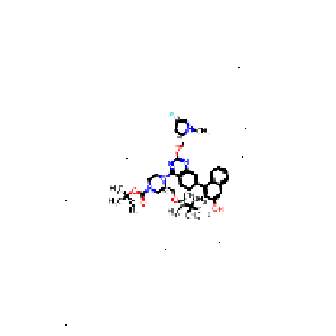 CN1C[C@@H](F)C[C@H]1COc1nc2c(c(N3CCN(C(=O)OC(C)(C)C)C[C@@H]3CO[Si](C)(C)C(C)(C)C)n1)CCC(c1cc(O)cc3ccccc13)C2